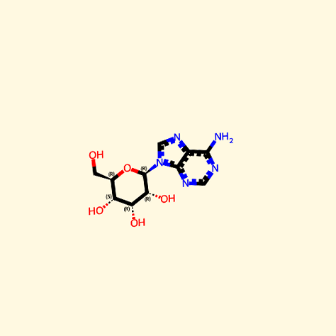 Nc1ncnc2c1ncn2[C@@H]1O[C@H](CO)[C@@H](O)[C@@H](O)[C@H]1O